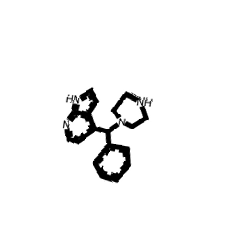 c1ccc(C(c2ccnc3[nH]ccc23)N2CCNCC2)cc1